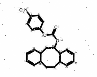 O=C(Oc1ccc([N+](=O)[O-])cc1)OC1CC2C=CC=CC2CCC2C=CC=CC21